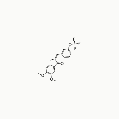 COc1cc2c(cc1OC)C(=O)C(=Cc1cccc(OC(F)(F)F)c1)C2